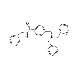 O=C(NCc1ccccc1)c1ccc(CN(Cc2ccccc2)Cc2ccccc2)cc1